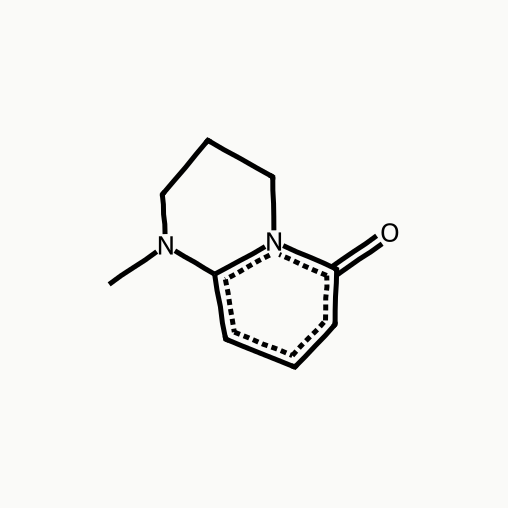 CN1CCCn2c1cccc2=O